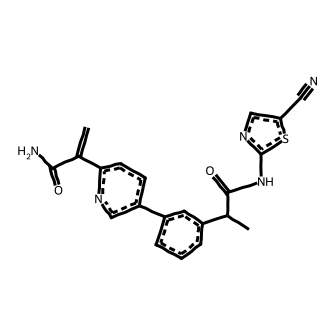 C=C(C(N)=O)c1ccc(-c2cccc(C(C)C(=O)Nc3ncc(C#N)s3)c2)cn1